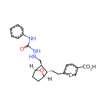 O=C(NNC[C@H]1[C@H](CCc2ccc(C(=O)O)cc2)[C@H]2CC[C@@H]1O2)Nc1ccccc1